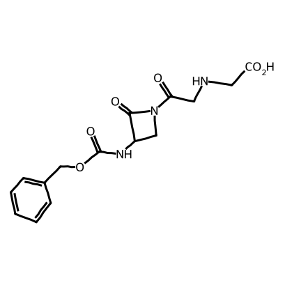 O=C(O)CNCC(=O)N1CC(NC(=O)OCc2ccccc2)C1=O